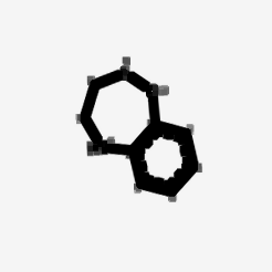 c1ccc2c(c1)NCCSO2